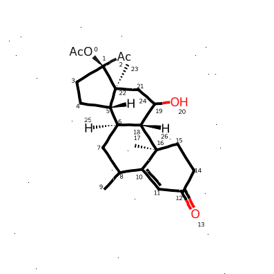 CC(=O)O[C@]1(C(C)=O)CC[C@H]2[C@@H]3CC(C)C4=CC(=O)CC[C@]4(C)[C@H]3C(O)C[C@@]21C